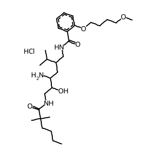 CCCCC(C)(C)C(=O)NCC(O)C(N)CC(CNC(=O)c1ccccc1OCCCCOC)C(C)C.Cl